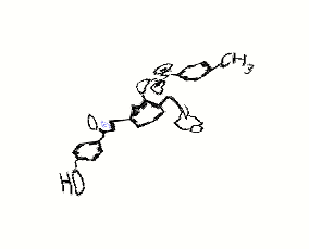 Cc1ccc(S(=O)(=O)Oc2cc(/C=C/C(=O)c3ccc(O)cc3)ccc2CN2CCOCC2)cc1